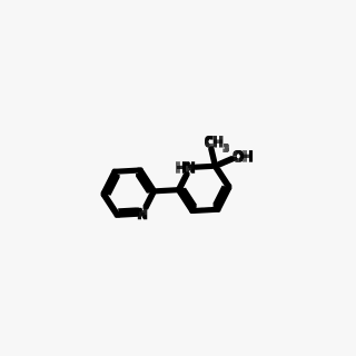 CC1(O)C=CC=C(c2ccccn2)N1